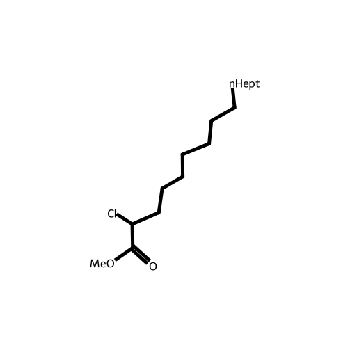 CCCCCCCCCCCCCCC(Cl)C(=O)OC